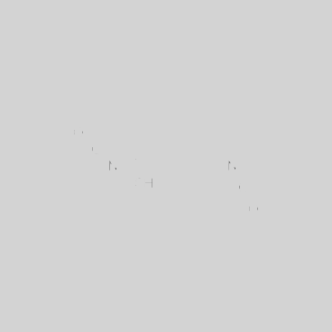 CC1(N=C=O)CCCC(CCN=C=O)C1